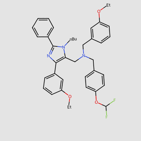 CCCCn1c(-c2ccccc2)nc(-c2cccc(OCC)c2)c1CN(Cc1ccc(OC(F)F)cc1)Cc1cccc(OCC)c1